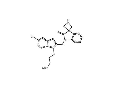 CNCCCn1c(CN2C(=O)C3(CNC3)c3ccccc32)cc2cc(Cl)ccc21